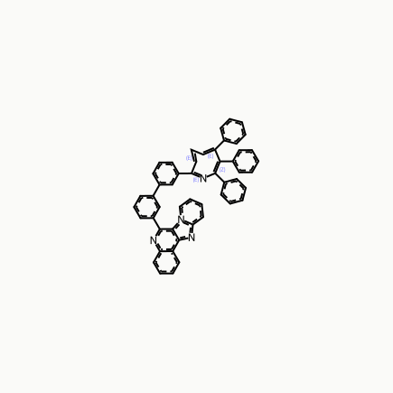 C1=C/C(c2cccc(-c3cccc(-c4nc5ccccc5c5nc6ccccn6c45)c3)c2)=N\C(c2ccccc2)=C(c2ccccc2)/C(c2ccccc2)=C/1